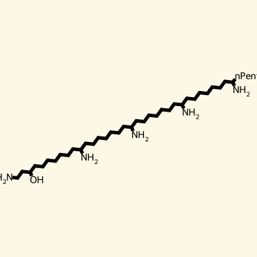 CCCCCC(N)CCCCCCCC(N)CCCCCCCC(N)CCCCCCCC(N)CCCCCCCC(O)CCN